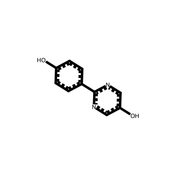 Oc1ccc(-c2ncc(O)cn2)cc1